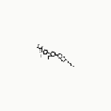 CCCCCC1CCC2CC(c3ccc(-c4ccc(OC(F)(F)F)c(F)c4)c(F)c3)CCC2C1